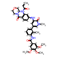 C=CC(=O)Nc1cc(Nc2cc(-c3cccc(NC(=O)c4cc(OC)c(OC)c(OC)c4)c3C)cn(C)c2=O)ccc1C(=O)N1CCOCC1